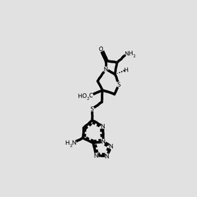 Nc1cc(SCC2(C(=O)O)CS[C@@H]3C(N)C(=O)N3C2)nn2nnnc12